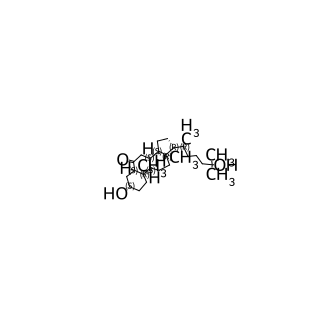 C[C@H](CCCC(C)(C)O)[C@H]1CC[C@H]2[C@@H]3CC(=O)[C@H]4C[C@@H](O)CC[C@]4(C)[C@H]3CC[C@]12C